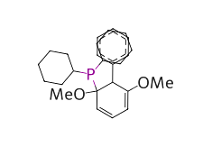 COC1=CC=CC(OC)(P(C2CCCCC2)C2CCCCC2)C1c1ccccc1